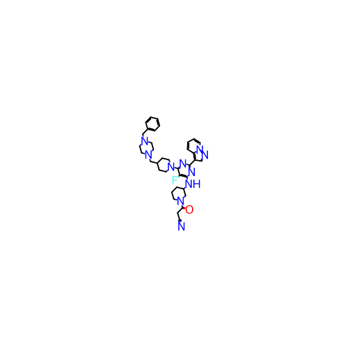 N#CCC(=O)N1CCCC(Nc2nc(-c3cnn4ccccc34)nc(N3CCC(CN4CCN(Cc5ccccc5)CC4)CC3)c2F)C1